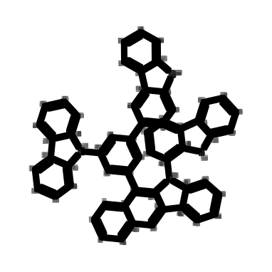 c1ccc2c(-c3cc(-c4ccc5oc6ccccc6c5c4)cc(-n4c5ccccc5c5ccccc54)c3)c3c(cc2c1)c1ccccc1n3-c1cccc2c1sc1ccccc12